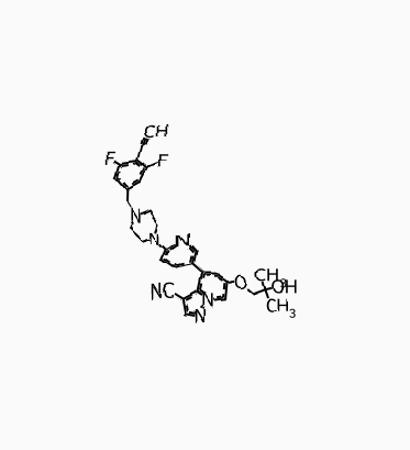 C#Cc1c(F)cc(CN2CCN(c3ccc(-c4cc(OCC(C)(C)O)cn5ncc(C#N)c45)cn3)CC2)cc1F